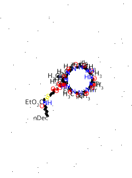 C/C=C/C[C@@H](C)[C@@H](OC(=O)OCOC(=O)CCCSSCC(NC(=O)CCCCCCCCCCCCCCC)C(=O)OCC)[C@H]1C(=O)N[C@@H](CC)C(=O)N(C)CC(=O)N(C)[C@@H](CC(C)C)C(=O)N[C@@H](C(C)C)C(=O)N(C)[C@@H](CC(C)C)C(=O)N[C@@H](C)C(=O)N[C@H](C)C(=O)N(C)[C@@H](CC(C)C)C(=O)N(C)[C@@H](CC(C)C)C(=O)N(C)[C@@H](C(C)C)C(=O)N1C